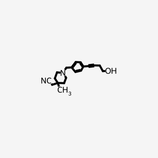 CC1(CC#N)CCN(Cc2ccc(C#CCCO)cc2)CC1